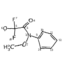 CON(C(=O)C([O])(F)F)c1ccccc1